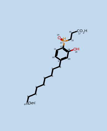 CCCCCCCCCCCCCCCCCCc1ccc([PH](=O)CCC(=O)O)c(O)c1